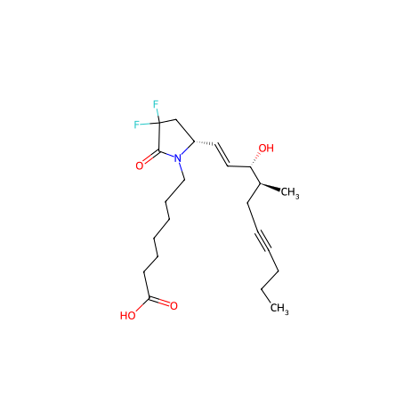 CCCC#CC[C@H](C)[C@@H](O)C=C[C@H]1CC(F)(F)C(=O)N1CCCCCCC(=O)O